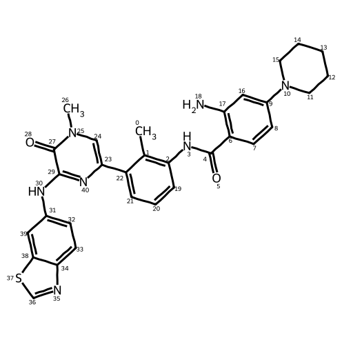 Cc1c(NC(=O)c2ccc(N3CCCCC3)cc2N)cccc1-c1cn(C)c(=O)c(Nc2ccc3ncsc3c2)n1